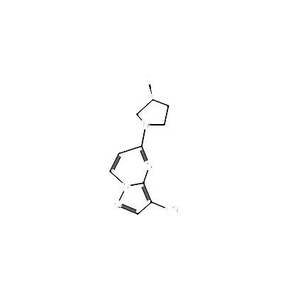 C[C@H]1C[C@H](F)CN1c1ccn2ncc(C#N)c2n1